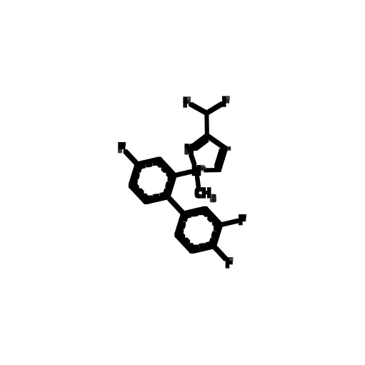 C[N+]1(c2cc(F)ccc2-c2ccc(F)c(F)c2)C=[C]C(C(F)F)=N1